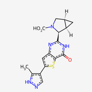 Cc1[nH]ncc1-c1cc2nc([C@@H]3[C@@H]4C[C@@H]4CN3C(=O)O)[nH]c(=O)c2s1